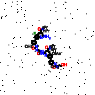 CCCN(CCC)C(=O)C1=Cc2c(F)cc(-c3ccc(C=O)c(N(C)C(=O)N(C)CC(=O)NNC4=Nc5cc(-c6ccc(C=O)c(N(C)C(=O)N(C)CCO)c6)cc(OC)c5C=C(C(=O)N(CCC)CCC)C4)c3)cc2N=C(N)C1